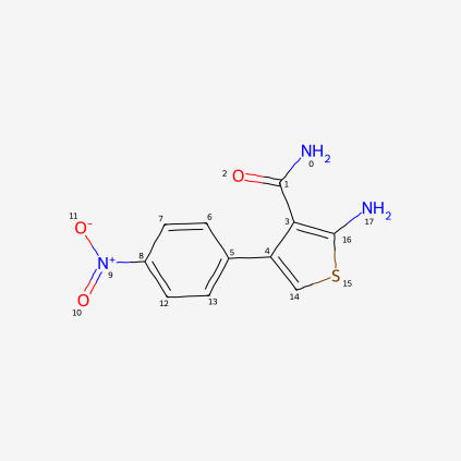 NC(=O)c1c(-c2ccc([N+](=O)[O-])cc2)csc1N